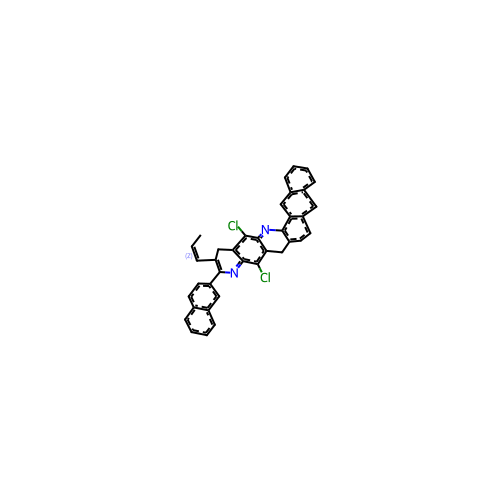 C/C=C\C1=C(c2ccc3ccccc3c2)N=c2c(Cl)c3c(c(Cl)c2C1)=Nc1c(ccc2cc4ccccc4cc12)C3